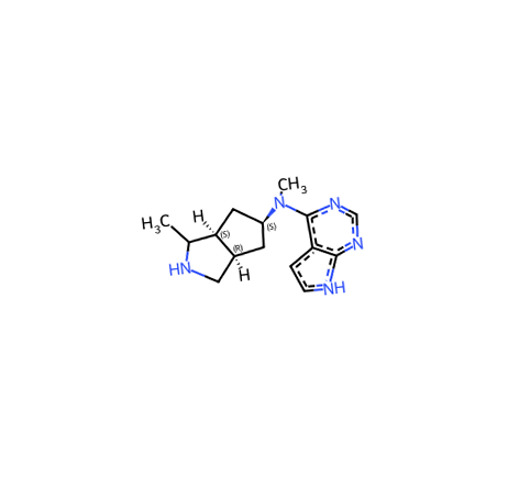 CC1NC[C@@H]2C[C@H](N(C)c3ncnc4[nH]ccc34)C[C@H]12